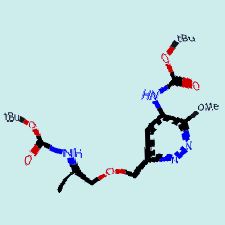 COc1nnc(COC[C@@H](C)NC(=O)OC(C)(C)C)cc1NC(=O)OC(C)(C)C